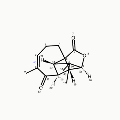 C/C1=C/CCC23C(=O)O[C@H]4[C@@H]2[C@@H](C1=O)[C@H]3C4(C)C